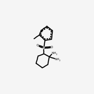 Cc1ccccc1S(=O)(=O)C1CCCCC1(N)N